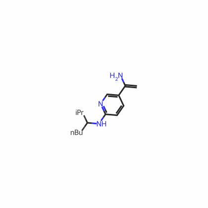 C=C(N)c1ccc(NC(CCCC)C(C)C)nc1